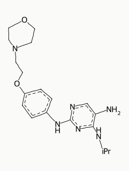 CC(C)Nc1nc(Nc2ccc(OCCN3CCOCC3)cc2)ncc1N